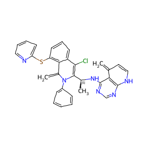 C=C1C=CNc2ncnc(N[C@@H](C)C3=C(Cl)c4cccc(Sc5ccccn5)c4C(=C)N3c3ccccc3)c21